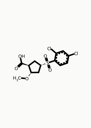 CO[C@H]1C[C@@H](S(=O)(=O)c2ccc(Cl)cc2Cl)C[C@@H]1C(=O)O